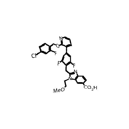 COCCn1c(Cc2c(F)cc(-c3cccnc3OCc3ccc(Cl)cc3F)cc2F)nc2ccc(C(=O)O)cc21